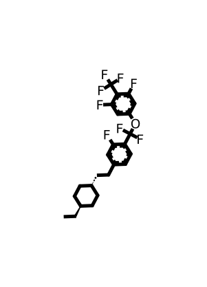 CC[C@H]1CC[C@H](CCc2ccc(C(F)(F)Oc3cc(F)c(C(F)(F)F)c(F)c3)c(F)c2)CC1